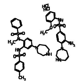 COc1ccccc1NS(=O)(=O)c1ccc(N2CCCNCC2)c(N)c1.Cc1ccc(S(=O)(=O)Nc2cc(N3CCCNCC3)ccc2N(C)S(=O)(=O)c2ccccc2)cc1.Cl.Cl